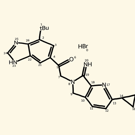 Br.CC(C)(C)c1cc(C(=O)CN2Cc3ccc(C4CC4)nc3C2=N)cc2[nH]cnc12